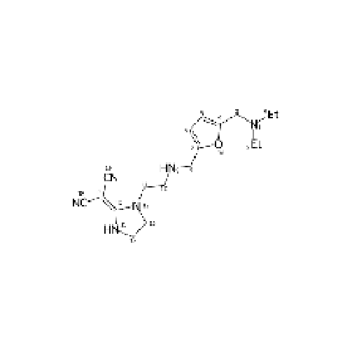 CCN(CC)Cc1ccc(CNCCN2CCNC2=C(C#N)C#N)o1